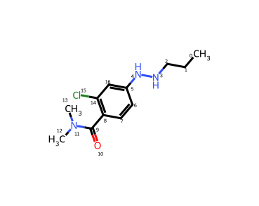 CCCNNc1ccc(C(=O)N(C)C)c(Cl)c1